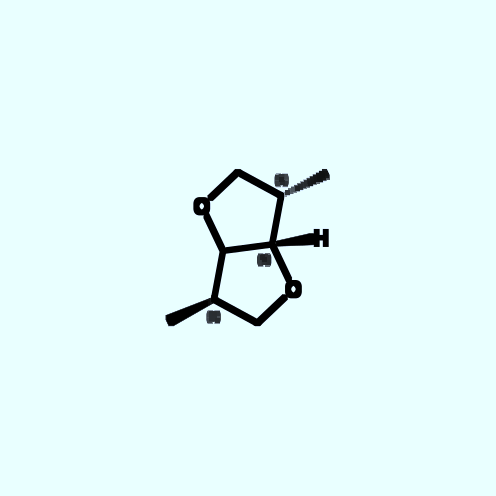 C[C@@H]1CO[C@@H]2C1OC[C@@H]2C